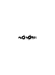 CC=C[C@H]1CC[C@H](CCc2ccc(COCC)cc2)CC1